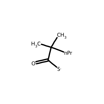 CCCC(C)(C)C(=O)[S]